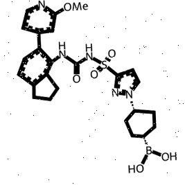 COc1cc(-c2ccc3c(c2NC(=O)NS(=O)(=O)c2ccn([C@H]4CC[C@@H](B(O)O)CC4)n2)CCC3)ccn1